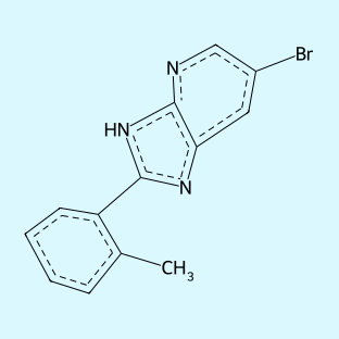 Cc1ccccc1-c1nc2cc(Br)cnc2[nH]1